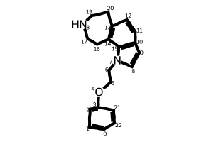 c1ccc(OCCn2ccc3ccc4c(c32)CCNCC4)cc1